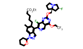 CCOC(=O)CCCCc1c(C)cc2c(cnn2C2CCCCO2)c1-c1ncc2c(OCC(F)(F)F)nc(OC[C@@]34CCCN3C[C@H](F)C4)nc2c1F